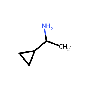 [CH2]C(N)C1CC1